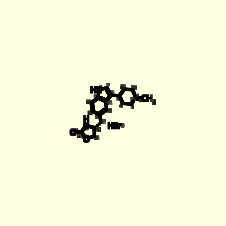 Br.CN1CCC(c2c[nH]c3ccc(C[C@@H]4COC(=O)N4)cc23)CC1